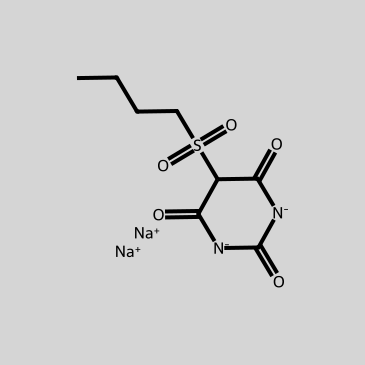 CCCCS(=O)(=O)C1C(=O)[N-]C(=O)[N-]C1=O.[Na+].[Na+]